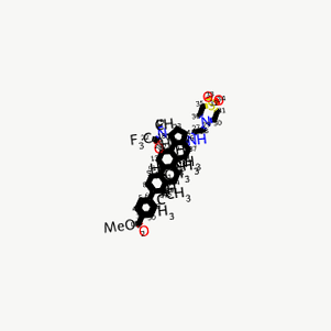 COC(=O)c1ccc(C2=CC[C@]3(C)[C@H]4CC[C@@H]5[C@H]6[C@H](N(C)C(=O)C(F)(F)F)CC[C@]6(NCCN6CCS(=O)(=O)CC6)CC[C@@]5(C)[C@]4(C)CC[C@H]3C2(C)C)cc1